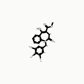 COC(=O)C1=C(O)c2ccccc2N(Cc2cc(F)c(F)c(F)c2)C(=O)C1